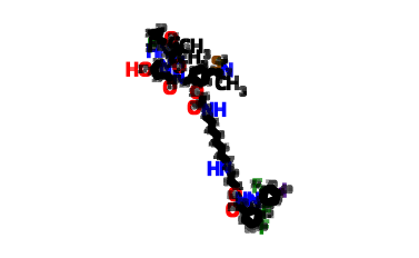 Cc1ncsc1-c1ccc(CNC(=O)C2C[C@@H](O)CN2C(=O)[C@@H](NC(=O)C2(F)CC2)C(C)(C)C)c(OCC(=O)NCCCCCCCCNCCCONC(=O)c2ccc(F)c(F)c2Nc2ccc(I)cc2F)c1